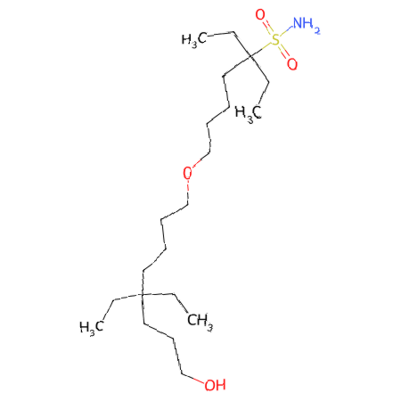 CCC(CC)(CCCO)CCCCOCCCCC(CC)(CC)S(N)(=O)=O